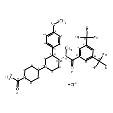 COc1ccc([C@@H]2CN(C3CCN(C(C)=O)CC3)CC[C@H]2N(C)C(=O)c2cc(C(F)(F)F)cc(C(F)(F)F)c2)cc1.Cl